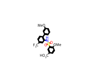 COc1cccc(-c2ccc(C(F)(F)F)cc2NS(=O)(=O)c2cc(C(=O)O)ccc2OC)c1